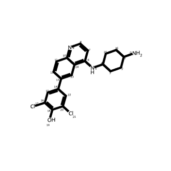 NC1CCC(Nc2[c]cnc3ccc(-c4cc(Cl)c(O)c(Cl)c4)cc23)CC1